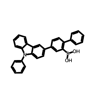 OB(O)c1cc(-c2ccc3c(c2)c2ccccc2n3-c2ccccc2)ccc1-c1ccccc1